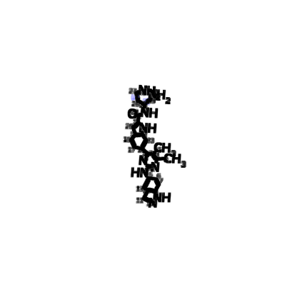 Cc1nc(Nc2ccc3[nH]ncc3c2)nc(-c2ccc3cc(C(=O)NC(/C=C\N)=C/N)[nH]c3c2)c1C